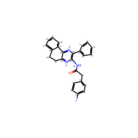 O=C(Cc1ccc(I)cc1)Nc1nc2c(nc1-c1ccccc1)-c1ccccc1CC2